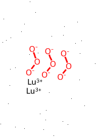 [Lu+3].[Lu+3].[O-]O[O-].[O-]O[O-].[O-]O[O-]